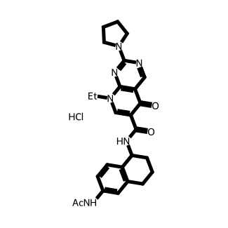 CCn1cc(C(=O)NC2CCCc3cc(NC(C)=O)ccc32)c(=O)c2cnc(N3CCCC3)nc21.Cl